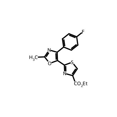 CCOC(=O)c1csc(-c2oc(C)nc2-c2ccc(F)cc2)n1